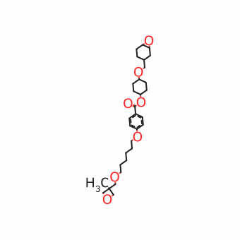 CC1(COCCCCCCOc2ccc(C(=O)OC3CCC(OCC4CCC5OC5C4)CC3)cc2)COC1